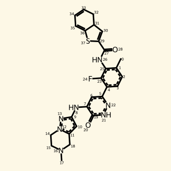 Cc1ccc(-c2cc(Nc3cc4n(n3)CCN(C)C4)c(=O)[nH]n2)c(F)c1NC(=O)C1=CC2CC=CC=C2S1